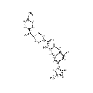 CN1CCN(C(=O)C2CCC(C(=O)Nc3cc4cc(-c5cnn(C)c5)cc(F)c4cn3)CC2)CC1